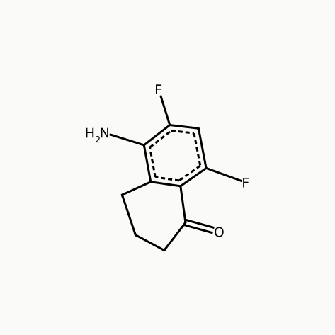 Nc1c(F)cc(F)c2c1CCCC2=O